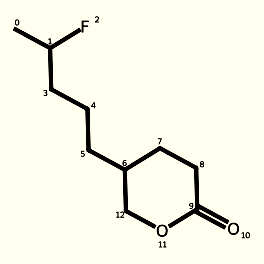 CC(F)CCCC1CCC(=O)OC1